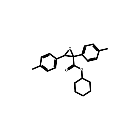 Cc1ccc(C2OC2(C(=O)OC2CCCCC2)c2ccc(C)cc2)cc1